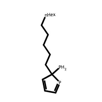 CCCCCCCCCCCC1(P)C=CC=P1